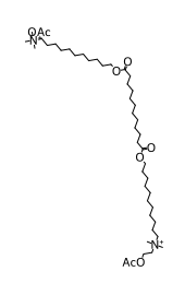 CC(=O)OCC[N+](C)(C)CCCCCCCCCCCOC(=O)CCCCCCCCCCC(=O)OCCCCCCCCCCC[N+](C)(C)OC(C)=O